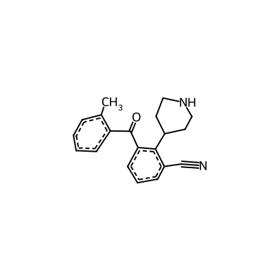 Cc1ccccc1C(=O)c1cccc(C#N)c1C1CCNCC1